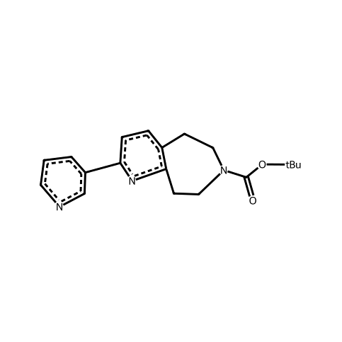 CC(C)(C)OC(=O)N1CCc2ccc(-c3cccnc3)nc2CC1